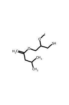 C=C(CC(C)C)OCC(CS)OI